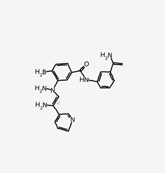 Bc1ccc(C(=O)Nc2cccc(C(=C)N)c2)cc1N(N)/C=C(\N)c1cccnc1